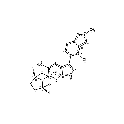 Cc1nc2c(-c3ccc4nn(C)cc4c3Cl)c[nH]c2nc1N1[C@@H]2CC[C@H]1C[C@@H](N)C2